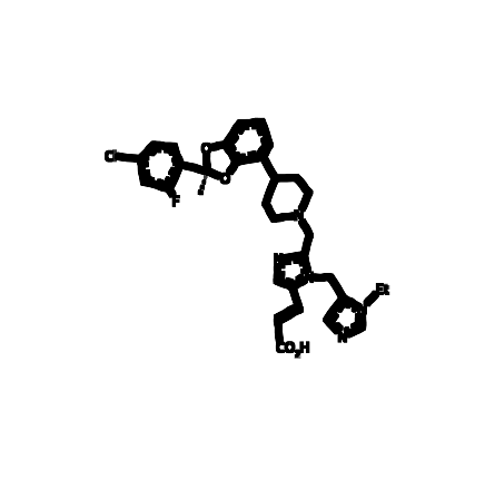 CCn1cncc1Cn1c(/C=C/C(=O)O)cnc1CN1CCC(c2cccc3c2O[C@@](C)(c2ccc(Cl)cc2F)O3)CC1